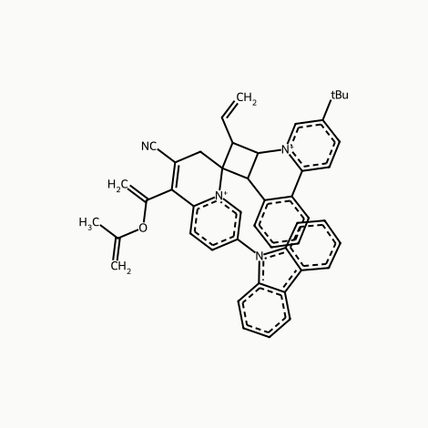 C=CC1C2C(c3ccccc3-c3ccc(C(C)(C)C)c[n+]32)C12CC(C#N)=C(C(=C)OC(=C)C)c1ccc(-n3c4ccccc4c4ccccc43)c[n+]12